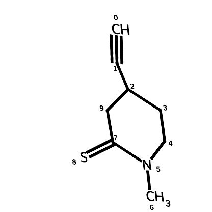 C#CC1CCN(C)C(=S)C1